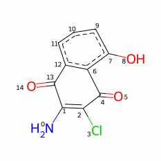 NC1=C(Cl)C(=O)c2c(O)cccc2C1=O